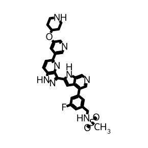 CS(=O)(=O)NCc1cc(F)cc(-c2cncc3[nH]c(-c4n[nH]c5ccc(-c6cncc(OC7CCNCC7)c6)nc45)cc23)c1